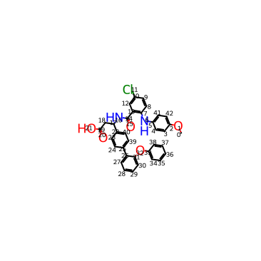 COc1ccc(Nc2ccc(Cl)cc2C(=O)NC(CC(=O)O)c2ccc(-c3ccccc3Oc3ccccc3)cc2)cc1